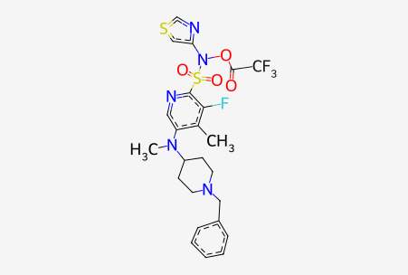 Cc1c(N(C)C2CCN(Cc3ccccc3)CC2)cnc(S(=O)(=O)N(OC(=O)C(F)(F)F)c2cscn2)c1F